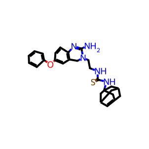 NC1=Nc2ccc(Oc3ccccc3)cc2CN1CCNC(=S)NC12CC3=CC(CC(C3)C1)C2